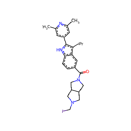 Cc1cc(-c2[nH]c3ccc(C(=O)N4CC5CN(CI)CC5C4)cc3c2C(C)C)cc(C)n1